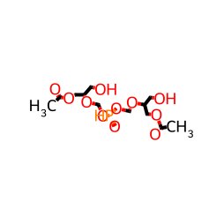 CC(=O)OCC(CO)OCO[PH](=O)OCOC(CO)COC(C)=O